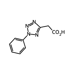 O=C(O)Cc1nnn(-c2ccccc2)n1